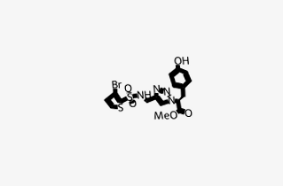 COC(=O)[C@H](Cc1ccc(O)cc1)n1cc(CNS(=O)(=O)c2sccc2Br)nn1